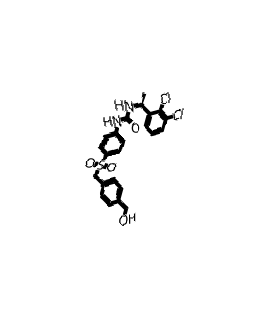 C[C@H](NC(=O)Nc1ccc(S(=O)(=O)Cc2ccc(CO)cc2)cc1)c1cccc(Cl)c1Cl